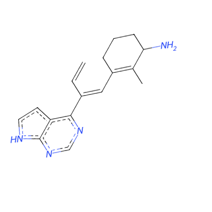 C=C/C(=C\C1=C(C)C(N)CCC1)c1ncnc2[nH]ccc12